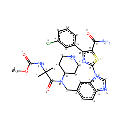 CC(C)(C)OC(=O)NC(C)(C)C(=O)N(Cc1ccc2ncn(-c3nc(-c4cccc(Cl)c4)c(C(N)=O)s3)c2c1)C1CCNCC1